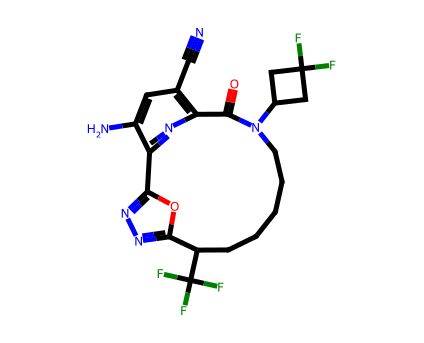 N#Cc1cc(N)c2nc1C(=O)N(C1CC(F)(F)C1)CCCCCC(C(F)(F)F)c1nnc-2o1